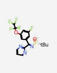 CC(C)(C)[S@@+]([O-])/N=C(\c1cc(F)cc(OC(F)(F)C(F)F)c1)c1ncccn1